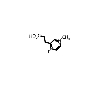 C[n+]1ccnc(CCC(=O)O)c1.[I-]